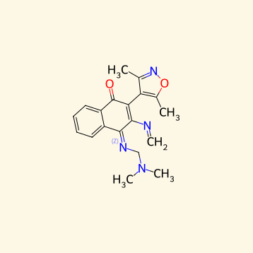 C=NC1=C(c2c(C)noc2C)C(=O)c2ccccc2/C1=N/CN(C)C